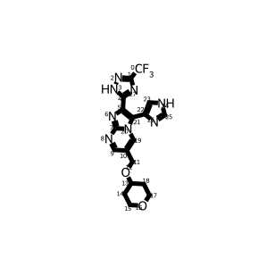 FC(F)(F)c1n[nH]c(-c2nc3ncc(COC4CCOCC4)cn3c2-c2c[nH]cn2)n1